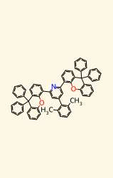 Cc1cccc(C)c1-c1cc(-c2cccc3c2Oc2ccccc2C3(c2ccccc2)c2ccccc2)nc(-c2cccc3c2Oc2ccccc2C3(c2ccccc2)c2ccccc2)c1